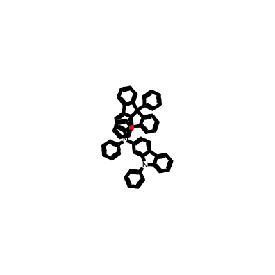 c1ccc(-c2ccccc2C2(c3ccccc3)c3ccccc3-c3ccc(N(c4ccccc4)c4ccc5c6ccccc6n(-c6ccccc6)c5c4)cc32)cc1